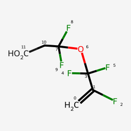 C=C(F)C(F)(F)OC(F)(F)CC(=O)O